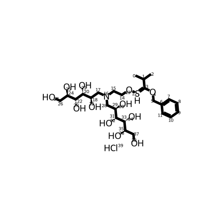 CC(C)C(OCc1ccccc1)=[SH]OCCN(C[C@@H](O)[C@@H](O)[C@H](O)[C@H](O)CO)C[C@@H](O)[C@@H](O)[C@H](O)[C@H](O)CO.Cl